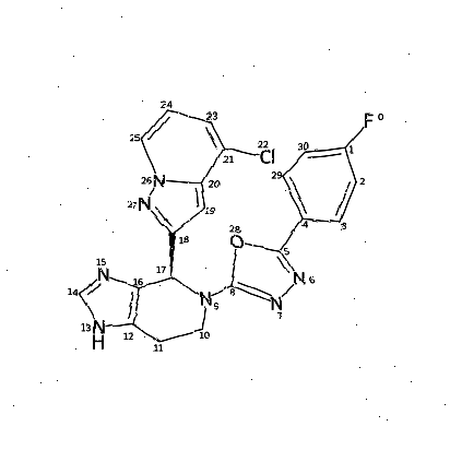 Fc1ccc(-c2nnc(N3CCc4[nH]cnc4[C@H]3c3cc4c(Cl)cccn4n3)o2)cc1